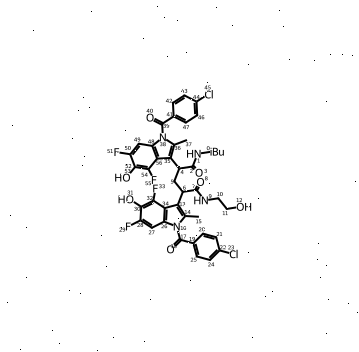 CCC(C)NC(=O)C(CC(C(=O)NCCO)c1c(C)n(C(=O)c2ccc(Cl)cc2)c2cc(F)c(O)c(F)c12)c1c(C)n(C(=O)c2ccc(Cl)cc2)c2cc(F)c(O)c(F)c12